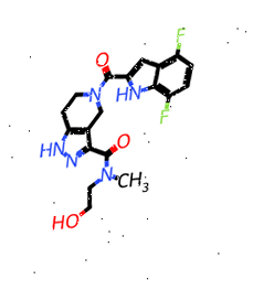 CN(CCO)C(=O)c1n[nH]c2c1CN(C(=O)c1cc3c(F)ccc(F)c3[nH]1)CC2